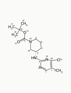 Cc1cnc(N[C@H]2CCCN(C(=O)OC(C)(C)C)C2)nc1Cl